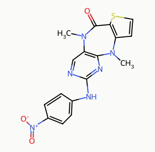 CN1C(=O)c2sccc2N(C)c2nc(Nc3ccc([N+](=O)[O-])cc3)ncc21